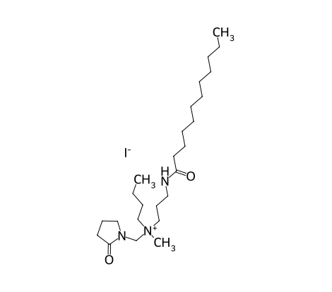 CCCCCCCCCCCC(=O)NCCC[N+](C)(CCCC)CN1CCCC1=O.[I-]